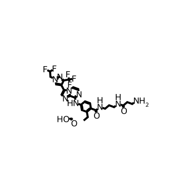 CCc1cc(Nc2nccn3c(-c4cn(CC(F)F)nc4C(F)(F)F)cnc23)ccc1C(=O)NCCCNC(=O)CCN.O=CO